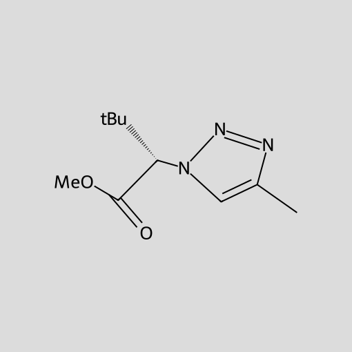 COC(=O)[C@@H](n1cc(C)nn1)C(C)(C)C